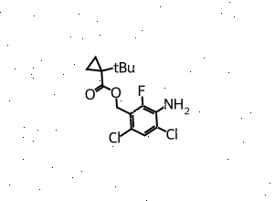 CC(C)(C)C1(C(=O)OCc2c(Cl)cc(Cl)c(N)c2F)CC1